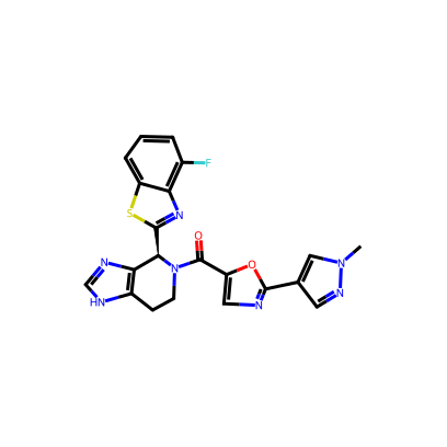 Cn1cc(-c2ncc(C(=O)N3CCc4[nH]cnc4[C@H]3c3nc4c(F)cccc4s3)o2)cn1